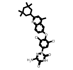 Cc1cc(C2CC(C)(C)CC(C)(C)C2)nc2ccc(Oc3c(Cl)cc(-n4nc(N)c(=O)[nH]c4=O)cc3Cl)cc12